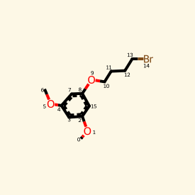 COc1cc(OC)cc(OCCCCBr)c1